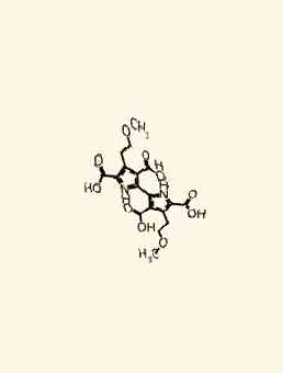 COCCc1c(C(=O)O)[nH]c(-c2[nH]c(C(=O)O)c(CCOC)c2C(=O)O)c1C(=O)O